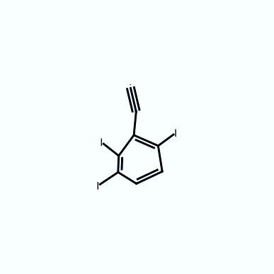 [C]#Cc1c(I)ccc(I)c1I